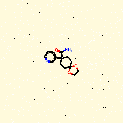 NC(=O)C1(c2cccnc2)CCC2(CC1)OCCO2